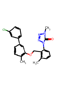 Cc1ccc(-c2cccc(Cl)c2)cc1OCc1c(C)cccc1-n1nnn(C)c1=O